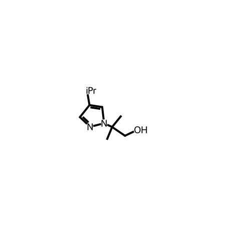 CC(C)c1cnn(C(C)(C)CO)c1